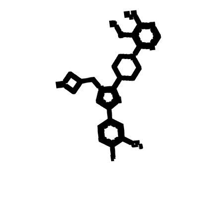 CCOc1c(N)ncnc1N1CCC(c2nc(-c3ccc(F)c(C(F)(F)F)c3)cn2CC2CNC2)CC1